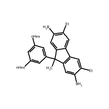 Bc1cc2c(cc1CC)-c1cc(CC)c(B)cc1C2(C)c1cc(CCCCCC)cc(CCCCCC)c1